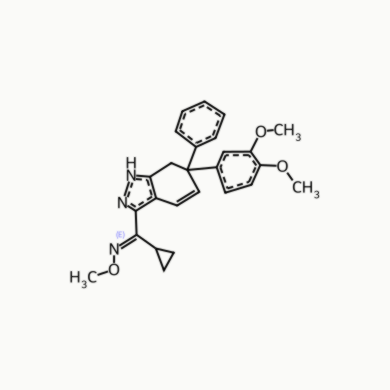 CO/N=C(/c1n[nH]c2c1C=CC(c1ccccc1)(c1ccc(OC)c(OC)c1)C2)C1CC1